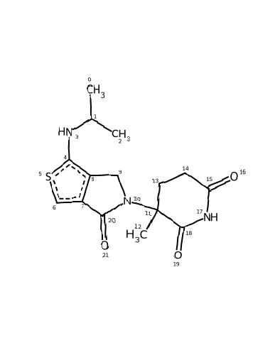 CC(C)Nc1scc2c1CN(C1(C)CCC(=O)NC1=O)C2=O